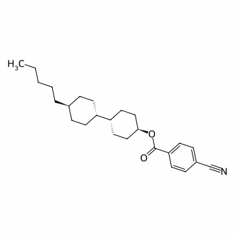 CCCCC[C@H]1CC[C@H]([C@H]2CC[C@H](OC(=O)c3ccc(C#N)cc3)CC2)CC1